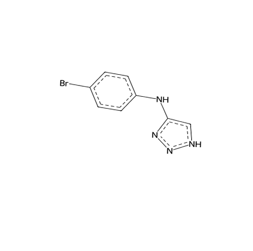 Brc1ccc(Nc2c[nH]nn2)cc1